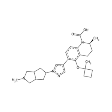 C[C@H]1CCc2c(ccc(-c3cnn(C4CC5CN(C)CC5C4)c3)c2OC2(C)CCC2)N1C(=O)O